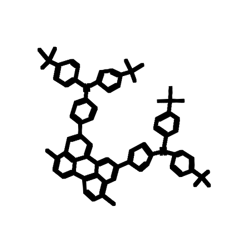 Cc1ccc2c3ccc(C)c4cc(-c5ccc(N(c6ccc(C(C)(C)C)cc6)c6ccc(C(C)(C)C)cc6)cc5)cc(c5cc(-c6ccc(N(c7ccc(C(C)(C)C)cc7)c7ccc(C(C)(C)C)cc7)cc6)cc1c25)c43